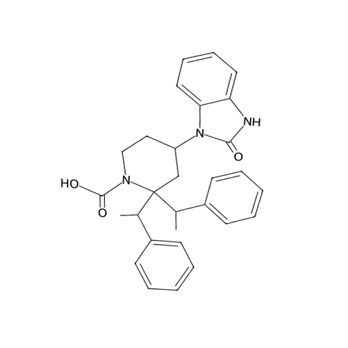 CC(c1ccccc1)C1(C(C)c2ccccc2)CC(n2c(=O)[nH]c3ccccc32)CCN1C(=O)O